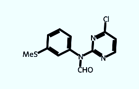 CSc1cccc(N(C=O)c2nccc(Cl)n2)c1